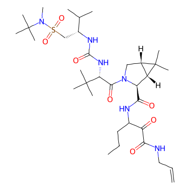 C=CCNC(=O)C(=O)C(CCC)NC(=O)[C@@H]1[C@@H]2[C@H](CN1C(=O)[C@@H](NC(=O)N[C@H](CS(=O)(=O)N(C)C(C)(C)C)C(C)C)C(C)(C)C)C2(C)C